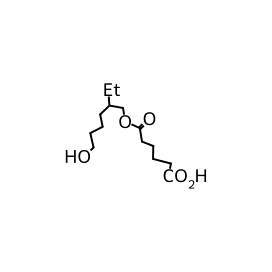 CCC(CCCCO)COC(=O)CCCCC(=O)O